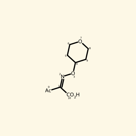 CC(=O)C(=NOC1CCOCC1)C(=O)O